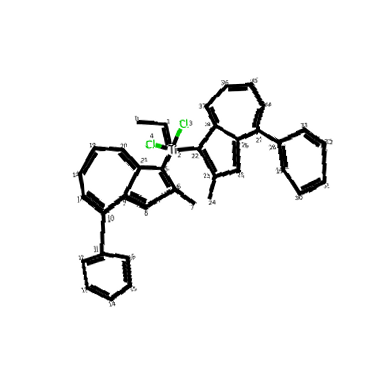 C[CH]=[Ti]([Cl])([Cl])([c]1c(C)cc2c(-c3ccccc3)ccccc1-2)[c]1c(C)cc2c(-c3ccccc3)ccccc1-2